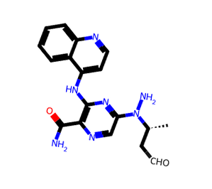 C[C@H](CC=O)N(N)c1cnc(C(N)=O)c(Nc2ccnc3ccccc23)n1